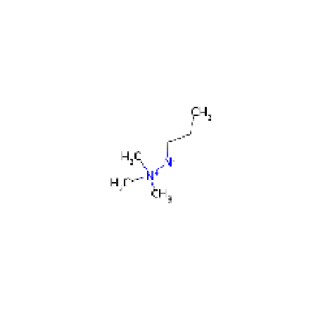 CCC[N][N+](C)(C)C